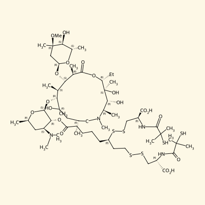 CC[C@H]1OC(=O)[C@H](C)[C@@H](O[C@H]2C[C@@](C)(OC)[C@@H](O)[C@H](C)O2)[C@H](C)[C@@H](O[C@@H]2O[C@H](C)C[C@H](N(C)C)[C@H]2OC(=O)CCCC[C@H](CCSSC[C@H](NC(=O)C(C)(C)S)C(=O)O)SSC[C@H](NC(=O)C(C)(C)S)C(=O)O)[C@](C)(O)C[C@@H](C)CN(C)[C@H](C)[C@@H](O)[C@]1(C)O